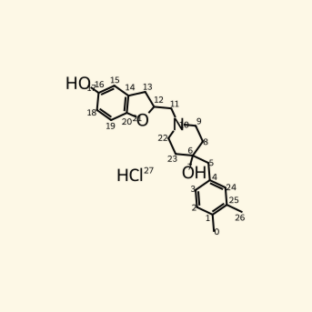 Cc1ccc(CC2(O)CCN(CC3Cc4cc(O)ccc4O3)CC2)cc1C.Cl